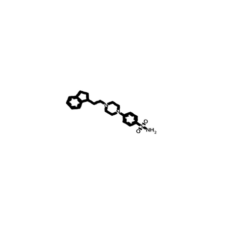 NS(=O)(=O)c1ccc(N2CCN(CCC3CCc4ccccc43)CC2)cc1